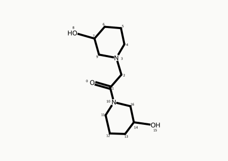 O=C(CN1CCCC(O)C1)N1CCCC(O)C1